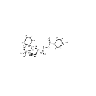 Cc1ccc(C(=O)SC[C@@H](C)C(=O)O[C@H]2c3ccccc3OC(C)(C)[C@@H]2Br)cc1